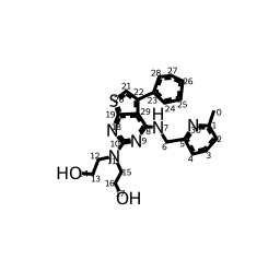 Cc1cccc(CNc2nc(N(CCO)CCO)nc3scc(-c4ccccc4)c23)n1